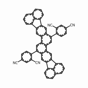 N#Cc1ccc(-c2cc3c4cc5c(cc4c(-c4ccc(C#N)cc4C#N)cc3c3cc4c(cc23)-c2cccc3cccc-4c23)-c2cccc3cccc-5c23)c(C#N)c1